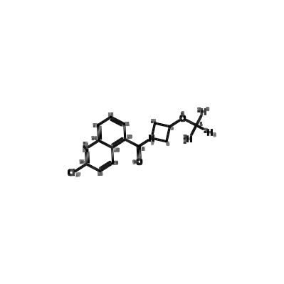 [2H]C([2H])([2H])OC1CN(C(=O)c2cccc3nc(Cl)ccc23)C1